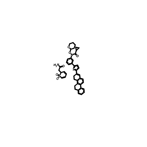 NC(=O)CC1C=CC=CS1(=O)=O.O=C(C1CC1)N(OC1CCCCO1)c1cccc(-c2ccc(C3=Cc4ccc5c(c4CC3)CCc3ccccc3-5)s2)c1